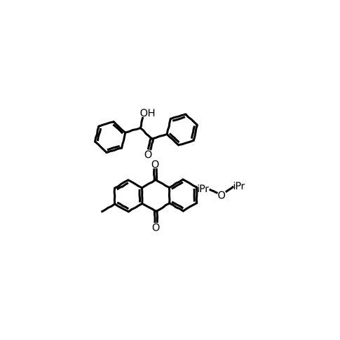 CC(C)OC(C)C.Cc1ccc2c(c1)C(=O)c1ccccc1C2=O.O=C(c1ccccc1)C(O)c1ccccc1